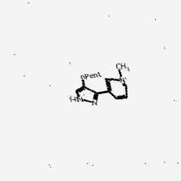 CCCCCc1c[nH]nc1-c1ccc[n+](C)c1